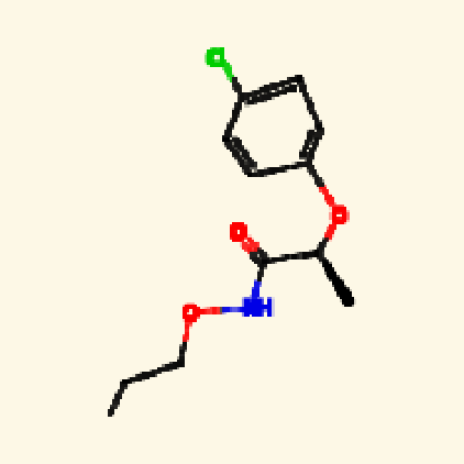 CCCONC(=O)[C@H](C)Oc1ccc(Cl)cc1